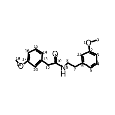 COc1cccc(CCNC(=O)Cc2cccc(OC)c2)c1